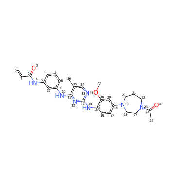 C=CC(=O)Nc1cccc(Nc2nc(Nc3ccc(N4CCCN(C(C)=O)CC4)cc3OC)ncc2C)c1